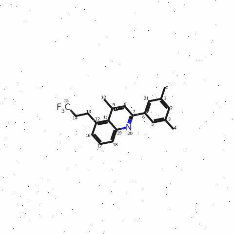 Cc1cc(C)cc(-c2cc(C)c3c(CCC(F)(F)F)cccc3n2)c1